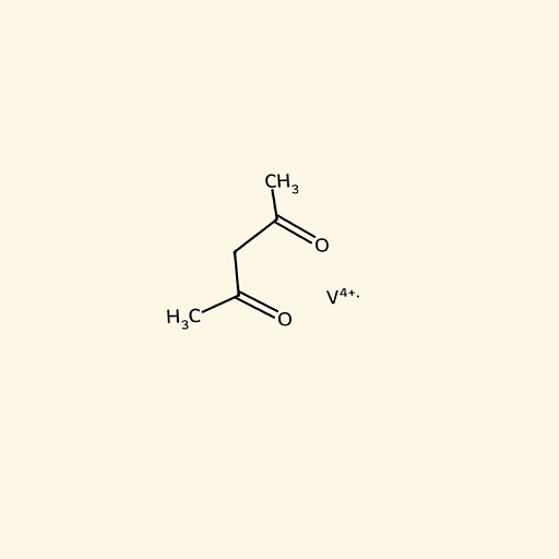 CC(=O)CC(C)=O.[V+4]